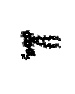 CCCCCCCCC1(CCCCCCCC)c2ccccc2-c2ccc(-c3nnc(C)o3)cc21